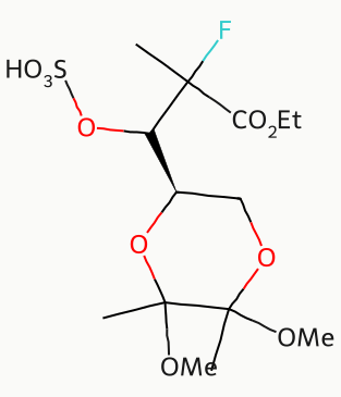 CCOC(=O)C(C)(F)C(OS(=O)(=O)O)[C@H]1COC(C)(OC)C(C)(OC)O1